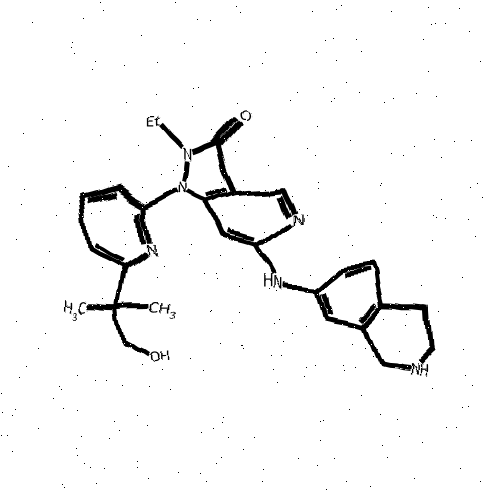 CCn1c(=O)c2cnc(Nc3ccc4c(c3)CNCC4)cc2n1-c1cccc(C(C)(C)CO)n1